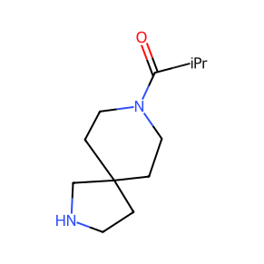 CC(C)C(=O)N1CCC2(CCNC2)CC1